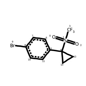 O=S(=O)(C(F)(F)F)C1(c2ccc(Br)cc2)CC1